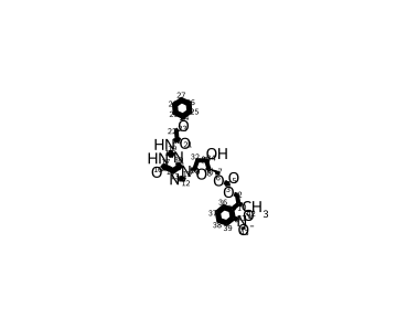 CC(COC(=O)OC[C@H]1O[C@@H](n2cnc3c(=O)[nH]c(NC(=O)COc4ccccc4)nc32)C[C@@H]1O)c1ccccc1[N+](=O)[O-]